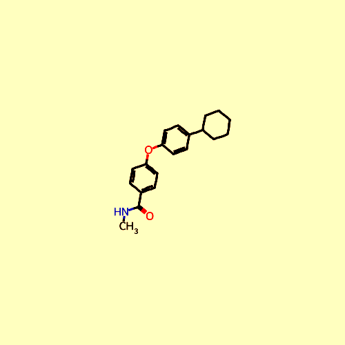 CNC(=O)c1ccc(Oc2ccc(C3CCCCC3)cc2)cc1